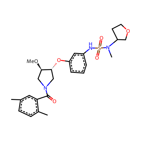 CO[C@@H]1CN(C(=O)c2cc(C)ccc2C)C[C@H]1Oc1cccc(NS(=O)(=O)N(C)C2CCOC2)c1